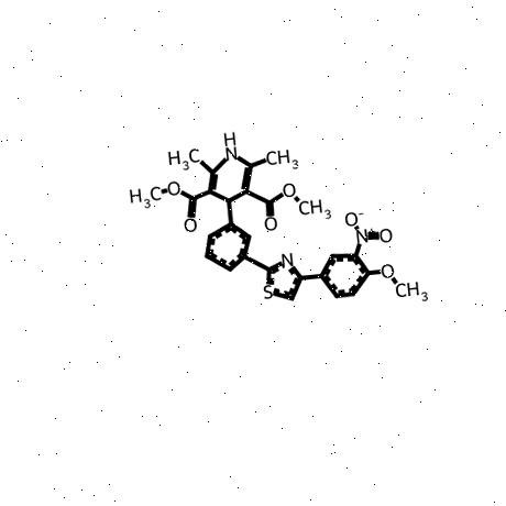 COC(=O)C1=C(C)NC(C)=C(C(=O)OC)C1c1cccc(-c2nc(-c3ccc(OC)c([N+](=O)[O-])c3)cs2)c1